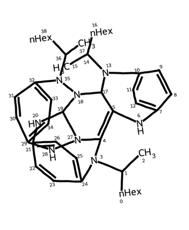 CCCCCCC(C)N1C2=C3Nc4ccc(cc4)N(C(C)CCCCCC)C3N3C(Nc4ccc1cc4)N2Nc1ccc(cc1)N3C(C)CCCCCC